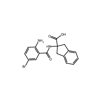 Nc1ccc(Br)cc1C(=O)NC1(C(=O)O)Cc2ccccc2C1